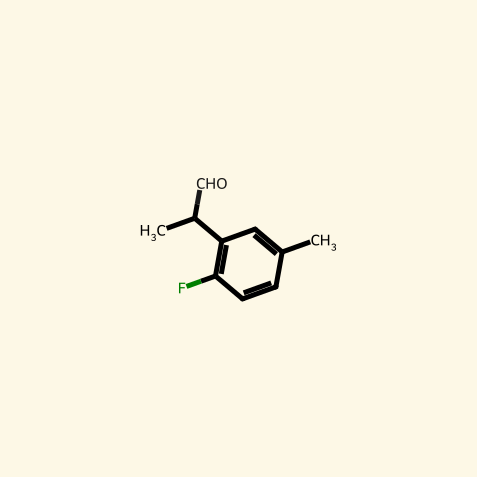 Cc1ccc(F)c(C(C)C=O)c1